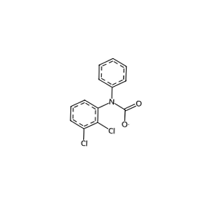 [O]C(=O)N(c1ccccc1)c1cccc(Cl)c1Cl